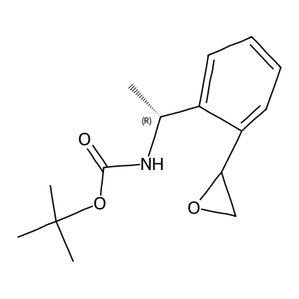 C[C@@H](NC(=O)OC(C)(C)C)c1ccccc1C1CO1